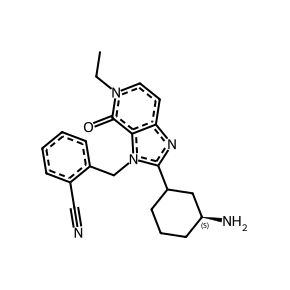 CCn1ccc2nc(C3CCC[C@H](N)C3)n(Cc3ccccc3C#N)c2c1=O